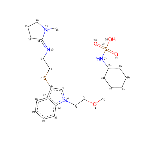 COCCn1cc(SCCN=C2CCCN2C)c2ccccc21.O=S(=O)(O)NC1CCCCC1